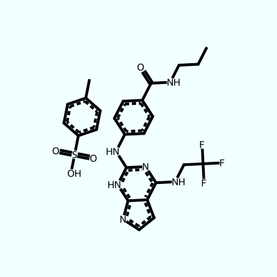 CCCNC(=O)c1ccc(Nc2nc(NCC(F)(F)F)c3ccnc-3[nH]2)cc1.Cc1ccc(S(=O)(=O)O)cc1